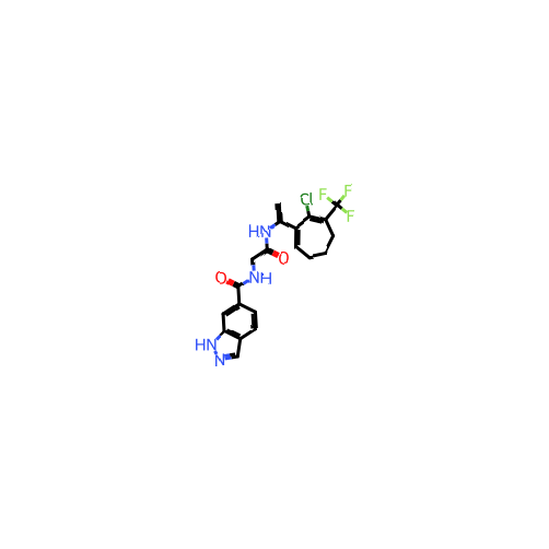 C=C(NC(=O)CNC(=O)c1ccc2cn[nH]c2c1)C1=CCCCC(C(F)(F)F)=C1Cl